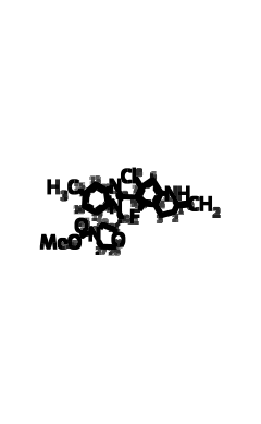 C=C1CCc2c(cc(Cl)c(-c3nc4cc(C)ccc4n3C[C@H]3CN(C(=O)OC)CCO3)c2F)N1